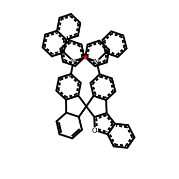 C1=CC2c3ccc(N(c4ccccc4)c4cccc5ccccc45)cc3C3(c4cc(N(c5ccccc5)c5ccccc5)ccc4-c4c3oc3ccccc43)C2C=C1